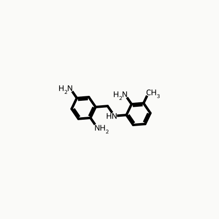 Cc1cccc(NCc2cc(N)ccc2N)c1N